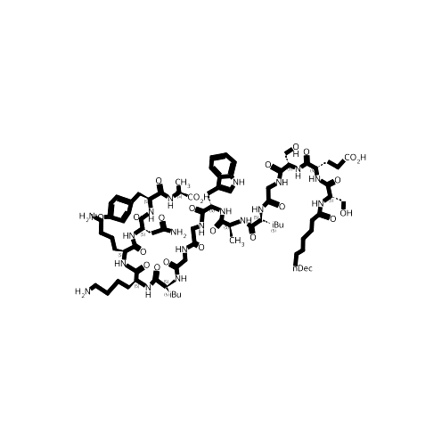 CCCCCCCCCCCCCCCC(=O)N[C@@H](CO)C(=O)N[C@@H](CCC(=O)O)C(=O)N[C@@H](CO)C(=O)NCC(=O)N[C@H](C(=O)N[C@@H](C)C(=O)N[C@@H](Cc1c[nH]c2ccccc12)C(=O)NCC(=O)NCC(=O)N[C@H](C(=O)N[C@@H](CCCCN)C(=O)N[C@@H](CCCCN)C(=O)N[C@@H](CC(N)=O)C(=O)N[C@@H](Cc1ccc(O)cc1)C(=O)N[C@@H](C)C(=O)O)[C@@H](C)CC)[C@@H](C)CC